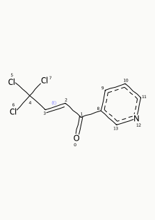 O=C(/C=C/C(Cl)(Cl)Cl)c1cccnc1